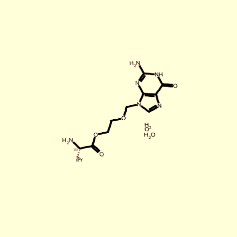 CC(C)[C@H](N)C(=O)OCCOCn1cnc2c(=O)[nH]c(N)nc21.O.O